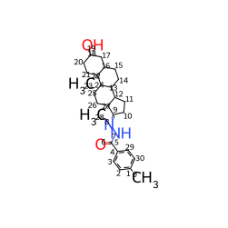 Cc1ccc(C(=O)N/N=C2\CCC3C4CCC5CC(O)CCC5(C)C4CCC23C)cc1